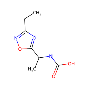 CCc1noc(C(C)NC(=O)O)n1